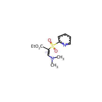 CCOC(=O)/C(=C/N(C)C)S(=O)(=O)c1ccccn1